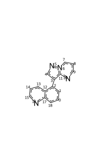 c1cc(-c2cnn3cccnc23)c2cccnc2c1